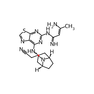 C/C(N)=C/C(=N)Nc1nc(N[C@@H]2C[C@H]3CC[C@@H](C2)N3CCC#N)c2ncsc2n1